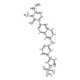 CC(C)Nc1ncc(-c2ccc3cc(Oc4ccnc(-c5cnn(S(C)(=O)=O)c5)c4)ccc3n2)c(=O)n1C